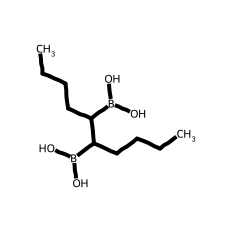 CCCCC(B(O)O)C(CCCC)B(O)O